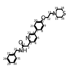 O=C(Cc1ccc(-c2ccc(OCCN3CCSCC3)cc2)cn1)NCc1ccccc1